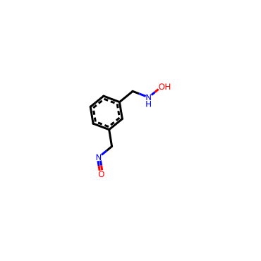 O=NCc1cccc(CNO)c1